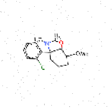 COC1CCCC(c2ccccc2Cl)(N(C)C)C1=O